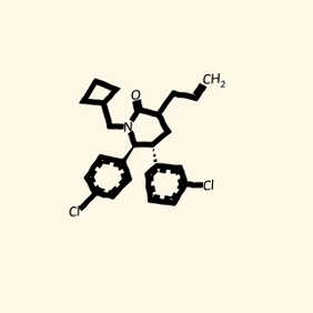 C=CCC1C[C@H](c2cccc(Cl)c2)[C@@H](c2ccc(Cl)cc2)N(CC2CCC2)C1=O